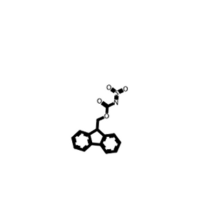 O=C(N=S(=O)=O)OCC1c2ccccc2-c2ccccc21